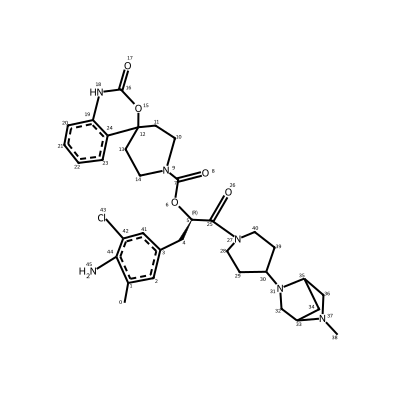 Cc1cc(C[C@@H](OC(=O)N2CCC3(CC2)OC(=O)Nc2ccccc23)C(=O)N2CCC(N3CC4CC3CN4C)CC2)cc(Cl)c1N